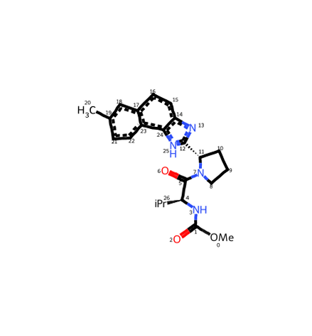 COC(=O)N[C@H](C(=O)N1CCC[C@H]1c1nc2ccc3cc(C)ccc3c2[nH]1)C(C)C